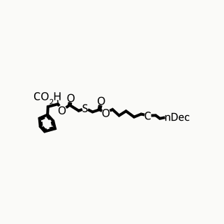 CCCCCCCCCCCCCCCCCCOC(=O)CSCC(=O)O[C@H](Cc1ccccc1)C(=O)O